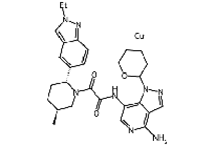 CCn1cc2cc([C@H]3CC[C@H](C)CN3C(=O)C(=O)Nc3cnc(N)c4cnn(C5CCCCO5)c34)ccc2n1.[Cu]